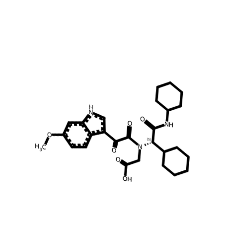 COc1ccc2c(C(=O)C(=O)N(CC(=O)O)[C@H](C(=O)NC3CCCCC3)C3CCCCC3)c[nH]c2c1